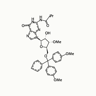 COc1ccc(C(OC[C@H]2O[C@@H](n3cnc4c(=O)[nH]c(NC(=O)C(C)C)nc43)[C@H](O)[C@@H]2OC)(c2ccccc2)c2ccc(OC)cc2)cc1